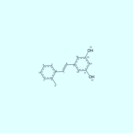 Cc1ccccc1C=Cc1cc(O)cc(O)c1